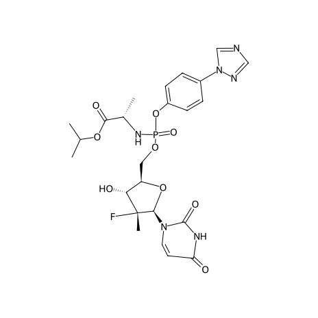 CC(C)OC(=O)[C@H](C)NP(=O)(OC[C@H]1O[C@@H](n2ccc(=O)[nH]c2=O)[C@](C)(F)[C@@H]1O)Oc1ccc(-n2cncn2)cc1